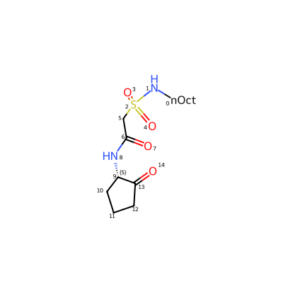 CCCCCCCCNS(=O)(=O)CC(=O)N[C@H]1CCCC1=O